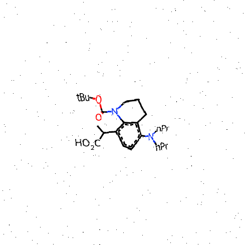 CCCN(CCC)c1ccc(C(C)C(=O)O)c2c1CCCN2C(=O)OC(C)(C)C